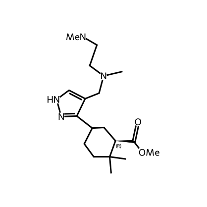 CNCCN(C)Cc1c[nH]nc1C1CCC(C)(C)[C@H](C(=O)OC)C1